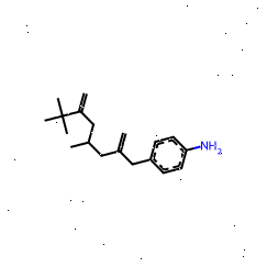 C=C(Cc1ccc(N)cc1)CC(C)CC(=C)C(C)(C)C